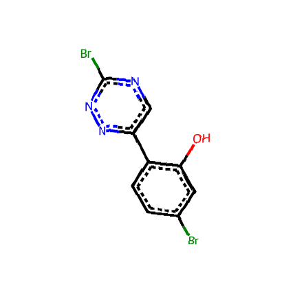 Oc1cc(Br)ccc1-c1cnc(Br)nn1